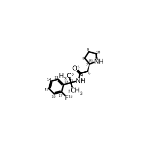 CC(C)(NC(=O)C[C@H]1CCCN1)c1ccccc1F